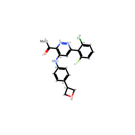 COC(=O)c1nnc(-c2c(F)cccc2Cl)cc1Nc1ccc(C2COC2)cc1